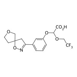 O=C(O)C(OCC(F)(F)F)Oc1cccc(C2=NOC3(CCOC3)C2)c1